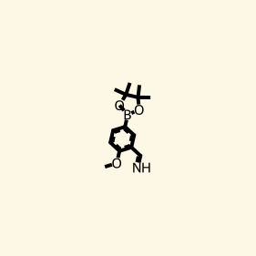 COc1ccc(B2OC(C)(C)C(C)(C)O2)cc1C=N